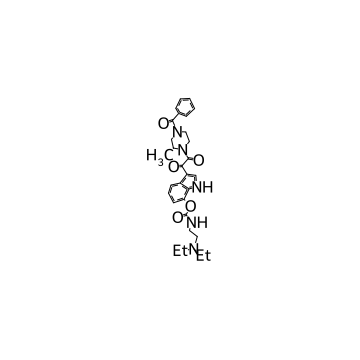 CCN(CC)CCNC(=O)Oc1cccc2c(C(=O)C(=O)N3CCN(C(=O)c4ccccc4)C[C@H]3C)c[nH]c12